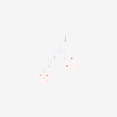 CC(C)CCN(CCNCCS(=O)(=O)O)CCS(=O)(=O)O